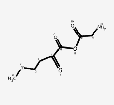 CSCCC(=O)C(=O)OC(=O)CN